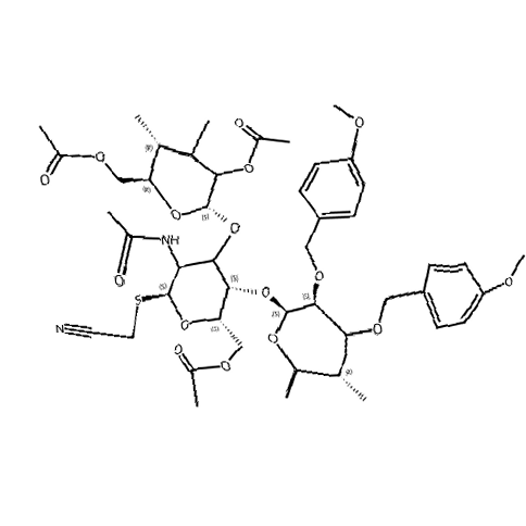 COc1ccc(COC2[C@H](C)C(C)O[C@@H](O[C@H]3C(O[C@@H]4O[C@@H](COC(C)=O)[C@H](C)C(C)C4OC(C)=O)C(NC(C)=O)[C@H](SCC#N)O[C@H]3COC(C)=O)[C@H]2OCc2ccc(OC)cc2)cc1